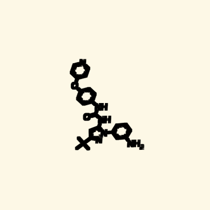 CC(C)(C)c1cc(NC(=O)Nc2ccc(Oc3ccncc3)cc2)n(-c2cccc(N)c2)n1